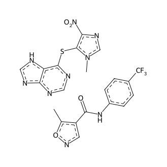 Cc1oncc1C(=O)Nc1ccc(C(F)(F)F)cc1.Cn1cnc([N+](=O)[O-])c1Sc1ncnc2nc[nH]c12